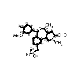 CCS(=O)(=O)Cc1ccc2c(c1)C1=CN(C)C(C=O)C=C1[C@H](C)N=C2c1ccc(F)c(OC)c1